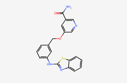 NC(=O)c1cncc(OCc2cccc(Nc3nc4ccccc4s3)c2)c1